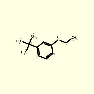 CCOc1c[c]cc(C(C)(C)C)c1